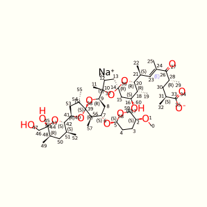 CO[C@H]1CC[C@@H](O[C@H]2C[C@H]([C@]3(C)CC[C@]4(C[C@H](O)[C@@H](C)[C@@H]([C@@H](C)/C=C(\C)C(=O)[C@H](C)C[C@H](C)C(=O)[O-])O4)O3)O[C@]3(O[C@@H]([C@H]4O[C@@](O)(CO)[C@H](C)C[C@@H]4C)C[C@@H]3C)[C@@H]2C)O[C@@H]1C.[Na+]